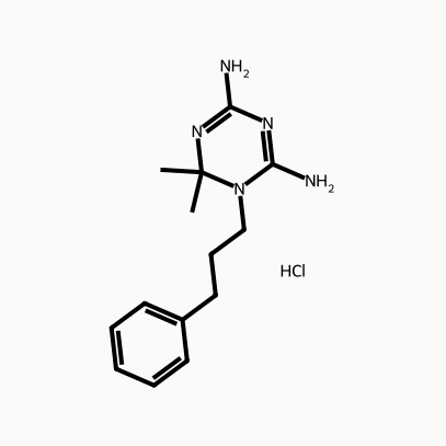 CC1(C)N=C(N)N=C(N)N1CCCc1ccccc1.Cl